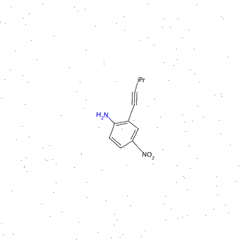 CC(C)C#Cc1cc([N+](=O)[O-])ccc1N